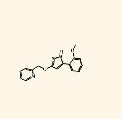 COc1ccccc1-c1cc(OCc2ccccn2)n[nH]1